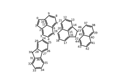 C1=Cc2cccc3cccc1c23.c1cc2c3c(cccc3c1)CC2.c1ccc2c(c1)Cc1ccccc1-2.c1ccc2ccccc2c1